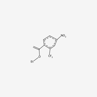 C=C(OCC)c1ccc([N+](=O)[O-])cc1C(F)(F)F